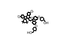 COc1ccc2c(c1)C1(CC(C)(C)CC(C)(C)C1)c1c3c(c4cc(OC)ccc4c1-2)OC(c1ccc(OC2CCC(CO)CC2)cc1)(c1ccc(OC2CCC(CO)CC2)cc1)C=C3